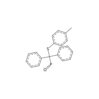 Cc1ccc(SC(P=O)(c2ccccc2)c2ccccc2)cc1